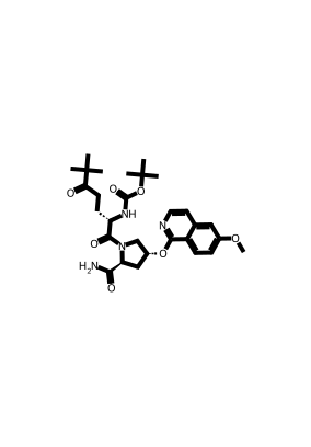 COc1ccc2c(O[C@@H]3C[C@@H](C(N)=O)N(C(=O)[C@H](CCC(=O)C(C)(C)C)NC(=O)OC(C)(C)C)C3)nccc2c1